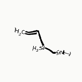 C=C[SiH2][SeH]